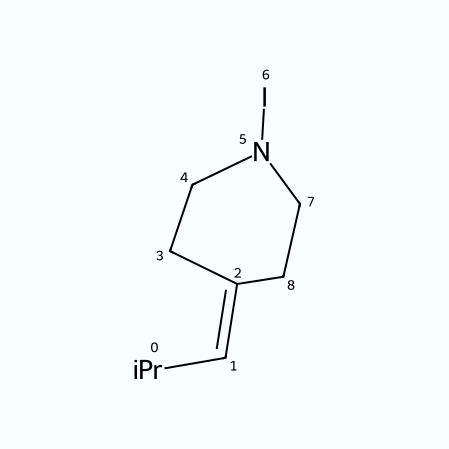 CC(C)C=C1CCN(I)CC1